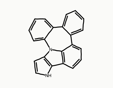 c1ccc2c(c1)-c1ccccc1-n1c3cc[nH]c3c3cccc-2c31